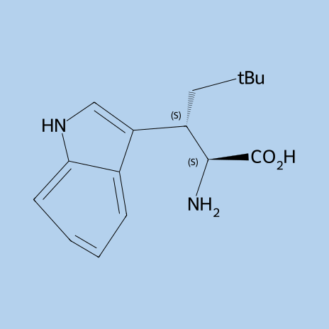 CC(C)(C)C[C@@H](c1c[nH]c2ccccc12)[C@H](N)C(=O)O